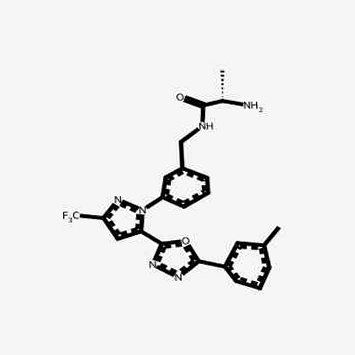 Cc1cccc(-c2nnc(-c3cc(C(F)(F)F)nn3-c3cccc(CNC(=O)[C@H](C)N)c3)o2)c1